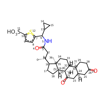 C[C@H](CC(=O)NC(c1ccc(S(=O)(=O)O)s1)C1CC1)C1CC[C@H]2[C@@H]3C(=O)C[C@@H]4CC(=O)CC[C@]4(C)[C@H]3CC[C@]12C